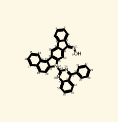 O/N=C1/c2ccccc2-c2cc3c4c5ccccc5ccc4n(-c4nc(-c5ccccc5)c5ccccc5n4)c3cc21